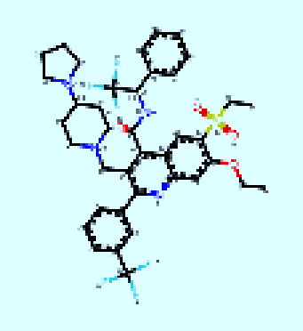 CCOc1cc2nc(-c3cccc(C(F)(F)F)c3)c(CN3CCC(N4CCCC4)CC3)c(C(=O)N[C@H](c3ccccc3)C(F)(F)F)c2cc1S(=O)(=O)CC